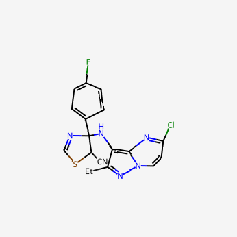 CCc1nn2ccc(Cl)nc2c1NC1(c2ccc(F)cc2)N=CSC1C#N